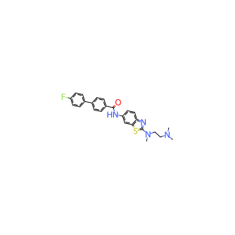 CN(C)CCN(C)c1nc2ccc(NC(=O)c3ccc(-c4ccc(F)cc4)cc3)cc2s1